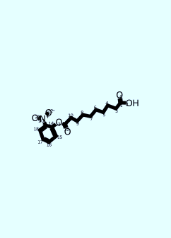 O=C(O)CCCCCCCCC(=O)Oc1ccccc1[N+](=O)[O-]